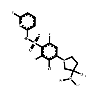 CC(C)N(C(C)C)C1(C)CCN(c2cc(F)c(S(=O)(=O)Nc3cccc(F)n3)c(F)c2Cl)C1